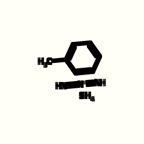 Cc1ccccc1.N=[N+]=N.[SiH4]